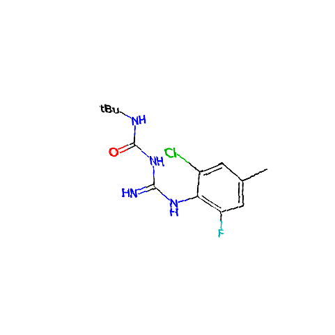 Cc1cc(F)c(NC(=N)NC(=O)NC(C)(C)C)c(Cl)c1